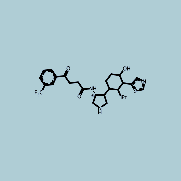 CC(C)C1C(C2CNC[C@@H]2NC(=O)CCC(=O)c2cccc(C(F)(F)F)c2)CCC(O)C1c1cncs1